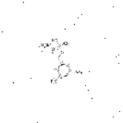 OC(O)(CCc1cc(C(F)(F)F)cc(C(F)(F)F)c1)O[SiH3]